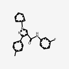 Cc1ccc(-c2nn(-c3ccccc3)cc2C(=O)Nc2cccc(F)c2)cc1